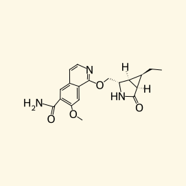 CC[C@H]1[C@H]2C(=O)N[C@H](COc3nccc4cc(C(N)=O)c(OC)cc34)[C@@H]12